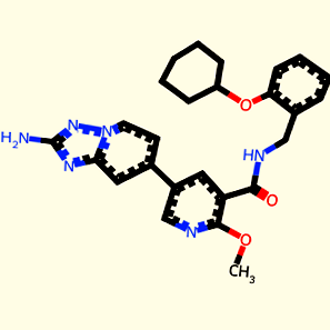 COc1ncc(-c2ccn3nc(N)nc3c2)cc1C(=O)NCc1ccccc1OC1CCCCC1